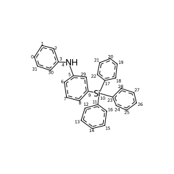 c1ccc(Nc2cccc([Si](c3ccccc3)(c3ccccc3)c3ccccc3)c2)cc1